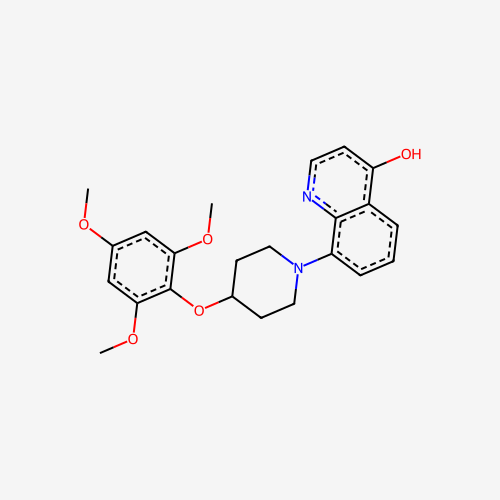 COc1cc(OC)c(OC2CCN(c3cccc4c(O)ccnc34)CC2)c(OC)c1